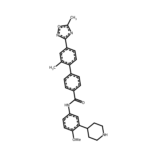 COc1ccc(NC(=O)c2ccc(-c3ccc(-c4noc(C)n4)cc3C)cc2)cc1C1CCNCC1